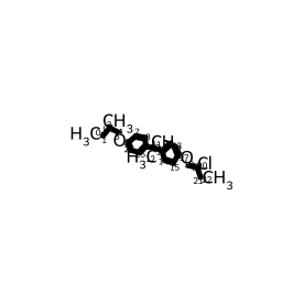 CC[C@H](C)COc1ccc(C(C)(C)c2ccc(OC[C@@H](Cl)CC)cc2)cc1